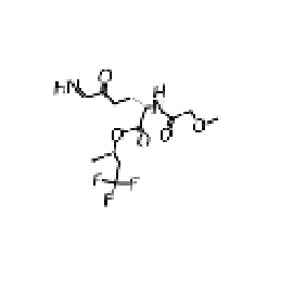 COCC(=O)N[C@@H](CCC(=O)C=N)C(=O)O[C@H](C)CC(F)(F)F